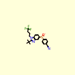 CC(C)(C)c1nc2cc([S+]([O-])c3ccc(C#N)cc3)ccc2n1CCCC(F)(F)F